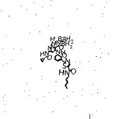 BC(B)(B)NC(=O)c1nnc(NC(=O)C2CC2)cc1Nc1cccc(-c2ncc(C(=O)NCCCCC)s2)c1OC